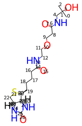 CC(C)(O)CNC(=O)CCOCCNC(=O)CCCC[C@@H]1SC[C@@H]2NC(=O)N[C@@H]21